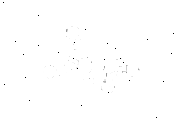 c1ccc2c(c1)sc1c(N3CCN(c4cccc5c4sc4ccccc45)C3=C3N(c4cccc5c4sc4ccccc45)CCN3c3cccc4c3sc3ccccc34)cccc12